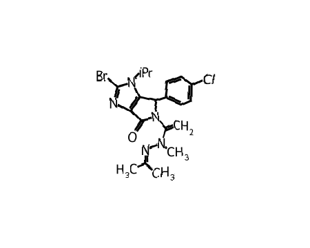 C=C(N(C)N=C(C)C)N1C(=O)c2nc(Br)n(C(C)C)c2C1c1ccc(Cl)cc1